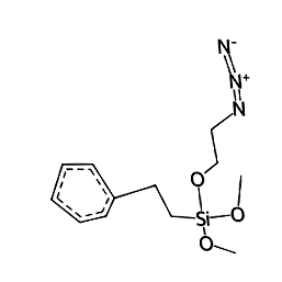 CO[Si](CCc1ccccc1)(OC)OCCN=[N+]=[N-]